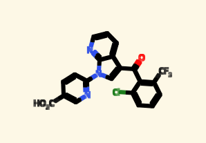 O=C(O)c1ccc(-n2cc(C(=O)c3c(Cl)cccc3C(F)(F)F)c3cccnc32)nc1